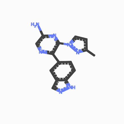 Cc1ccn(-c2nc(N)cnc2-c2ccc3[nH]ncc3c2)n1